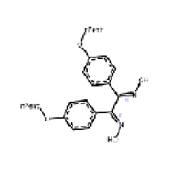 CCCCCOc1ccc(C(=N\O)/C(=N/O)c2ccc(OCCCCC)cc2)cc1